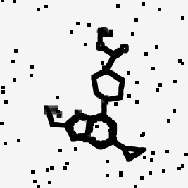 CC(C)(C)OC(=O)N1CCN(c2cc(C3CC3)cn3cc(CN)nc23)CC1